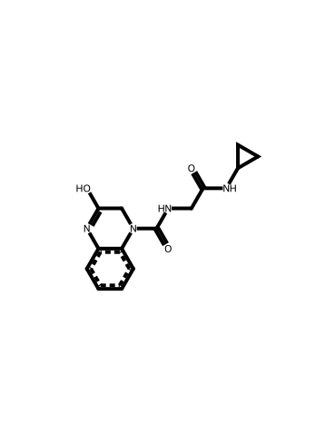 O=C(CNC(=O)N1CC(O)=Nc2ccccc21)NC1CC1